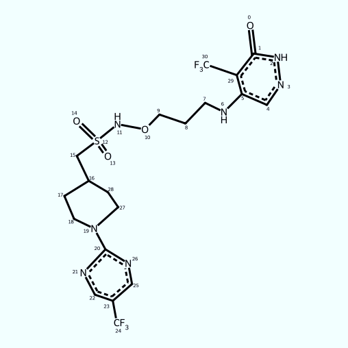 O=c1[nH]ncc(NCCCONS(=O)(=O)CC2CCN(c3ncc(C(F)(F)F)cn3)CC2)c1C(F)(F)F